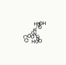 O=C(CCCCC=C(COc1cccc2ccccc12)C(=O)NC1CCN(C(=O)O)C1)NO